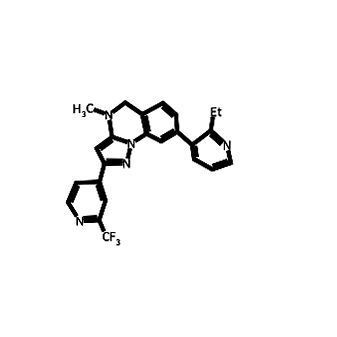 CCc1ncccc1-c1ccc2c(c1)-n1nc(-c3ccnc(C(F)(F)F)c3)cc1N(C)C2